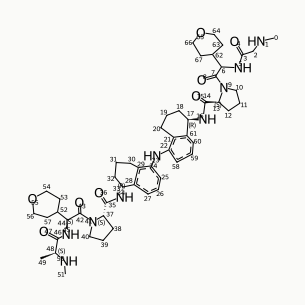 CNCC(=O)NC(C(=O)N1CCC[C@H]1C(=O)N[C@@H]1CCCc2c(Nc3cccc4c3CCC[C@H]4NC(=O)[C@@H]3CCCN3C(=O)[C@@H](NC(=O)[C@H](C)NC)C3CCOCC3)cccc21)C1CCOCC1